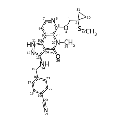 CSC1(COc2nccc3c4[nH]nc(NCc5ccc(C#N)cc5)c4c(=O)n(C)c23)CC1